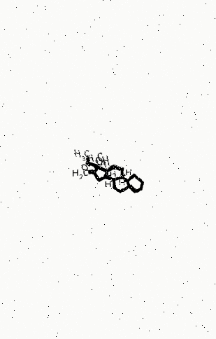 C=C1C[C@H]2[C@@H]3CCC4=CCCC[C@@H]4[C@H]3CC[C@]2(CC)[C@@]1(O)C(C)=O